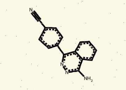 N#Cc1ccc(-c2nnc(N)c3ccccc23)cc1